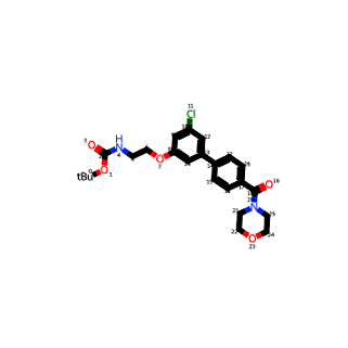 CC(C)(C)OC(=O)NCCOc1cc(Cl)cc(-c2ccc(C(=O)N3CCOCC3)cc2)c1